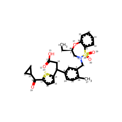 CC[C@@H]1CN(Cc2cc(C(CC(=O)O)c3ccc(C(=O)C4CC4)s3)ccc2C)S(=O)(=O)c2ccccc2O1